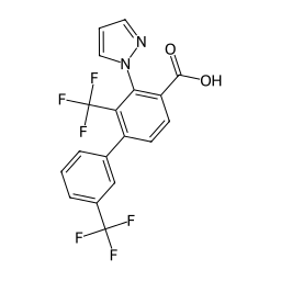 O=C(O)c1ccc(-c2cccc(C(F)(F)F)c2)c(C(F)(F)F)c1-n1cccn1